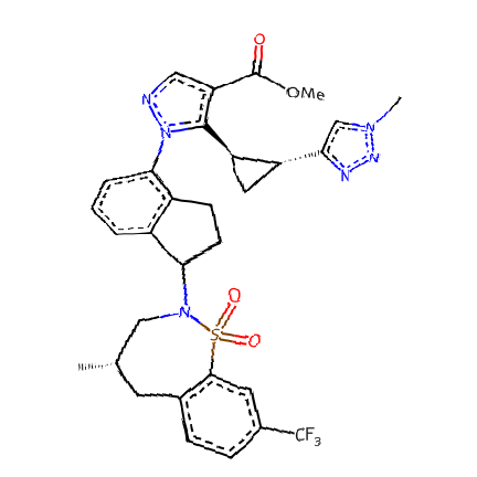 COC(=O)c1cnn(-c2cccc3c2CCC3N2C[C@@H](C)Cc3ccc(C(F)(F)F)cc3S2(=O)=O)c1[C@@H]1C[C@H]1c1cn(C)nn1